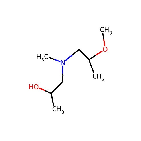 COC(C)CN(C)CC(C)O